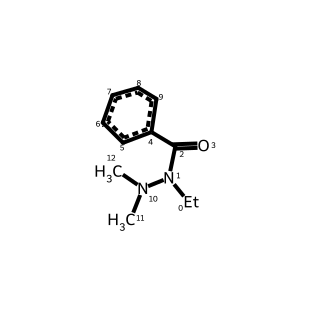 CCN(C(=O)c1c[c]ccc1)N(C)C